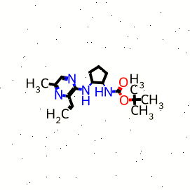 C=Cc1nc(C)cnc1N[C@H]1CCC[C@@H]1NC(=O)OC(C)(C)C